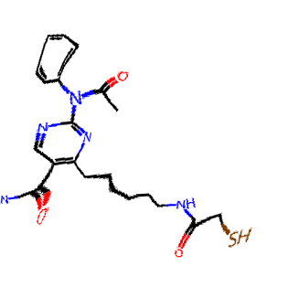 CC(=O)N(c1ccccc1)c1ncc(C(N)=O)c(CCCCCNC(=O)CS)n1